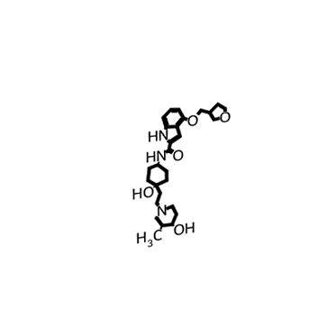 C[C@H]1CN(CC[C@]2(O)CC[C@@H](NC(=O)c3cc4c(OCC5CCOC5)cccc4[nH]3)CC2)CC[C@@H]1O